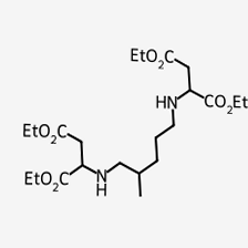 CCOC(=O)CC(NCCCC(C)CNC(CC(=O)OCC)C(=O)OCC)C(=O)OCC